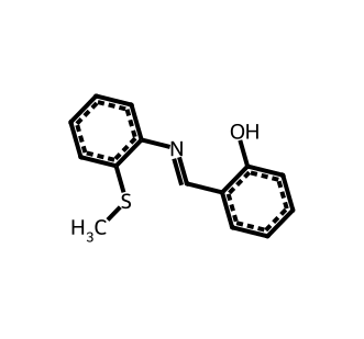 CSc1ccccc1N=Cc1ccccc1O